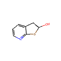 OC1Cc2cccnc2S1